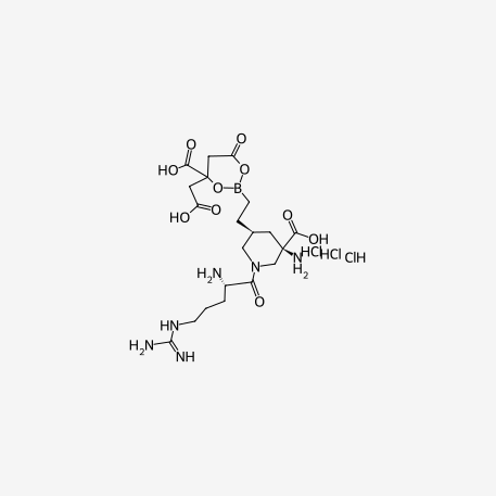 Cl.Cl.Cl.N=C(N)NCCC[C@H](N)C(=O)N1C[C@@H](CCB2OC(=O)CC(CC(=O)O)(C(=O)O)O2)C[C@](N)(C(=O)O)C1